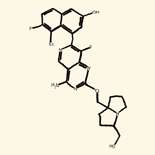 CCc1c(F)ccc2cc(O)cc(-c3ncc4c(N)nc(OCC56CCCN5C(CO)CC6)nc4c3F)c12